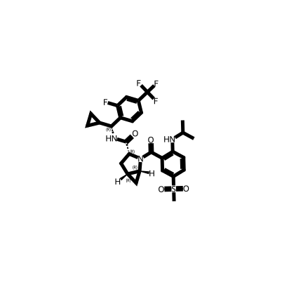 CC(C)Nc1ccc(S(C)(=O)=O)cc1C(=O)N1[C@@H](C(=O)N[C@@H](c2ccc(C(F)(F)F)cc2F)C2CC2)C[C@H]2C[C@H]21